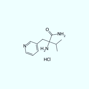 CC(C)C(N)(Cc1cccnc1)C(N)=O.Cl